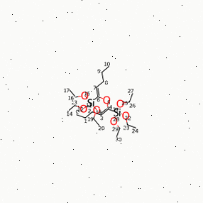 CCC/C=C(\O/C(=C\CCC)[Si](OCC)(OCC)OCC)[Si](OCC)(OCC)OCC